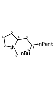 CCCCCC(CCCC)CC1CCCN1C